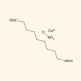 CCCCCCCCCCCCCCCCCC(=O)[O-].O=[N+]([O-])[O-].[Ca+2]